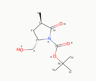 C[C@@H]1C[C@@H](CO)N(C(=O)OC(C)(C)C)C1=O